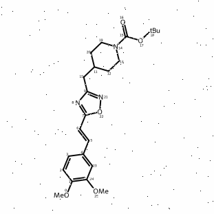 COc1ccc(/C=C/c2nc(CC3CCN(C(=O)OC(C)(C)C)CC3)no2)cc1OC